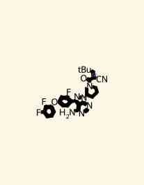 CC(C)(C)/C=C(/C#N)C(=O)N1CCC[C@H](n2nc(-c3ccc(Oc4cccc(F)c4F)cc3F)c3c(N)ncnc32)C1